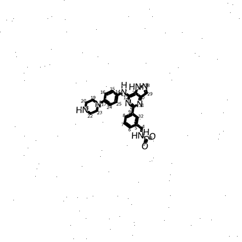 O=[SH](=O)NCc1cccc(-c2nc(Nc3ccc(N4CCNCC4)cc3)c3[nH]ncc3n2)c1